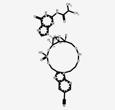 CC(C)C(=O)Nc1nc2c(ncn2[C@@H]2O[C@@H]3COPOCCn4c(nc5cc(C#N)cnc54)COP(=O)(S)O[C@@H]2[C@@H]3F)c(=O)[nH]1